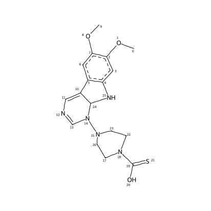 COc1cc2c(cc1OC)C1=CN=CN(N3CCN(C(O)=S)CC3)C1N2